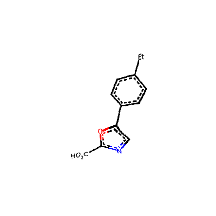 CCc1ccc(-c2cnc(C(=O)O)o2)cc1